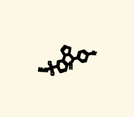 CNS(=O)(=O)c1ccc2c(c1)C1C=CCC1C(c1ccc(Br)cc1)N2